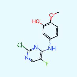 COc1ccc(Nc2nc(Cl)ncc2F)cc1O